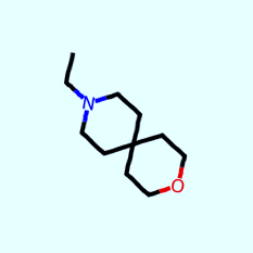 CCN1CCC2(CCOCC2)CC1